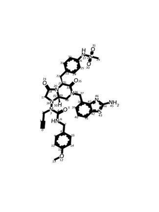 C#CCN(C(=O)NCc1ccc(OC)cc1)N1CC(=O)N2[C@@H](Cc3ccc(NS(C)(=O)=O)cc3)C(=O)N(Cc3cccc4sc(N)nc34)C[C@@H]21